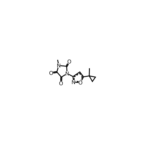 CN1C(=O)C(=O)N(c2cc(C3(C)CC3)on2)C1=O